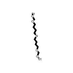 CCOCOCCCC[N]CCCCOCOCC